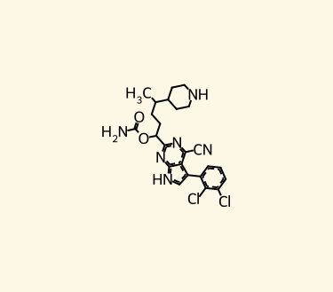 CC(CCC(OC(N)=O)c1nc(C#N)c2c(-c3cccc(Cl)c3Cl)c[nH]c2n1)C1CCNCC1